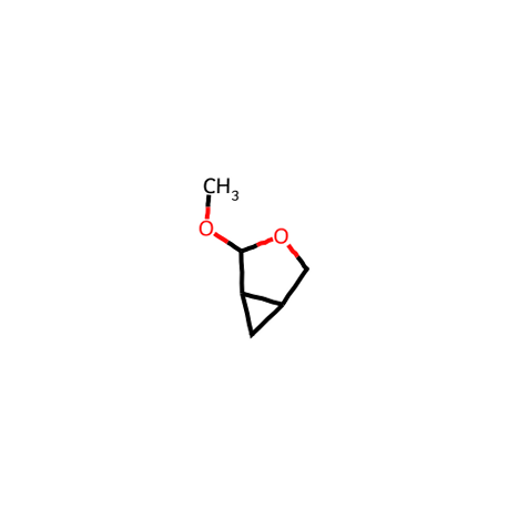 COC1OCC2CC21